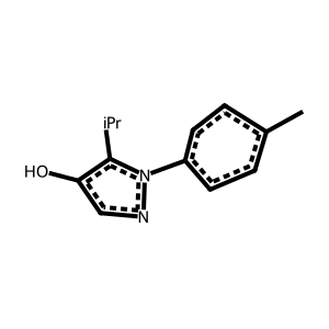 Cc1ccc(-n2ncc(O)c2C(C)C)cc1